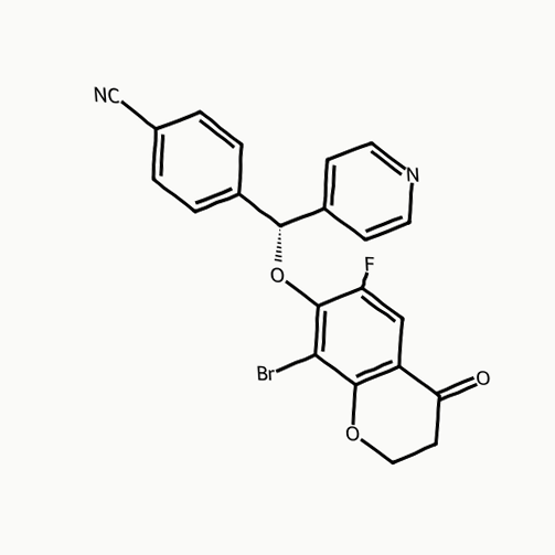 N#Cc1ccc([C@@H](Oc2c(F)cc3c(c2Br)OCCC3=O)c2ccncc2)cc1